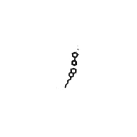 CCCCCCC1CC[C@@H]2C[C@H](c3ccc(-c4ccc(OC(F)F)cc4)c(F)c3)CC[C@@H]2C1